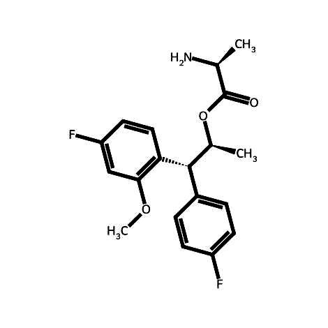 COc1cc(F)ccc1[C@@H](c1ccc(F)cc1)[C@H](C)OC(=O)[C@H](C)N